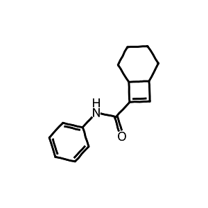 O=C(Nc1ccccc1)C1=CC2CCCCC12